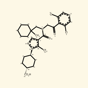 CC1(CN(CC(=O)c2c(Cl)cncc2Cl)C(=O)c2cnn([C@H]3CC[C@H](C(=O)O)CC3)c2C(F)(F)F)CCCCC1